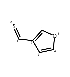 S=Cc1ccoc1